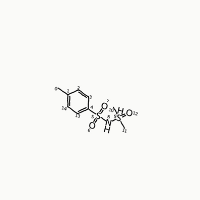 Cc1ccc(S(=O)(=O)N[SH](C)(C)=O)cc1